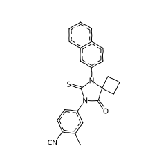 [C-]#[N+]c1ccc(N2C(=O)C3(CCC3)N(c3ccc4ccccc4c3)C2=S)cc1C